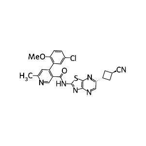 COc1ccc(Cl)cc1-c1cc(C)ncc1C(=O)Nc1nc2ncc([C@H]3C[C@H](C#N)C3)nc2s1